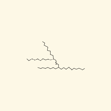 CCCCCCCCCCC(CCCCCCCC)CSCC(CCCCCCCC)CCCCCCCCCC